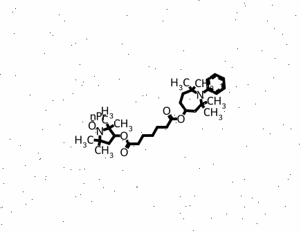 CCCON1C(C)(C)CC(OC(=O)CCCCCC(=O)OC2CCC(C)(C)N(c3ccccc3)C(C)(C)C2)C1(C)C